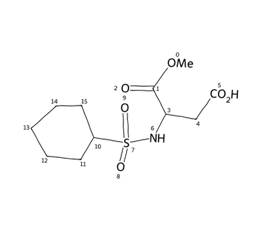 COC(=O)C(CC(=O)O)NS(=O)(=O)C1CCCCC1